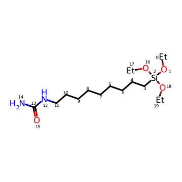 CCO[Si](CCCCCCCCCNC(N)=O)(OCC)OCC